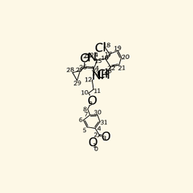 COC(=O)c1ccc(COCCCNc2c(-c3c(Cl)cccc3Cl)noc2C2CC2)cc1